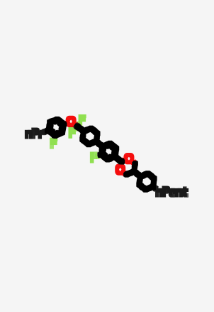 CCCCCC1CCC(C2COC(c3ccc(C4CCC(C(F)(F)Oc5ccc(CCC)c(F)c5)CC4)c(F)c3)OC2)CC1